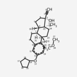 C#C[C@]1(O)CC[C@H]2[C@@H]3CCc4cc(OC5CCCC5)ccc4[C@H]3CC[C@@]21C.COC